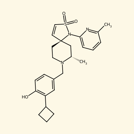 Cc1cccc(N2[C@]3(C=CS2(=O)=O)CCN(Cc2ccc(O)c(C4CCC4)c2)[C@@H](C)C3)n1